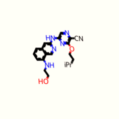 CC(C)CCOc1nc(Nc2cc3cccc(NCCO)c3cn2)cnc1C#N